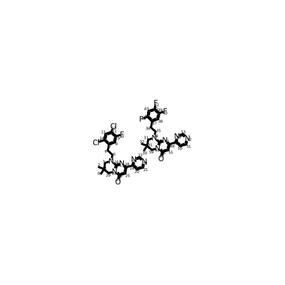 CC1(C)CN(CCc2cc(F)c(Cl)cc2Cl)c2nc(-c3ccncn3)cc(=O)n2C1.CC1(C)CN(CCc2cc(F)c(F)cc2F)c2nc(-c3ccncn3)cc(=O)n2C1